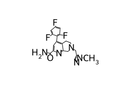 CN1N=C=C1CN1CCc2c(-c3c(F)cc(F)cc3F)cc(C(N)=O)nc2C1